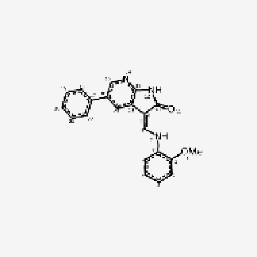 COc1ccccc1N/C=C1\C(=O)Nc2ncc(-c3ccccc3)cc21